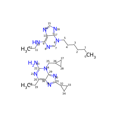 CCCCCCn1cnc(NCC)c2ncnc1-2.CCc1nc(N)n(CC2CC2)c2nc(C3CC3)nc1-2